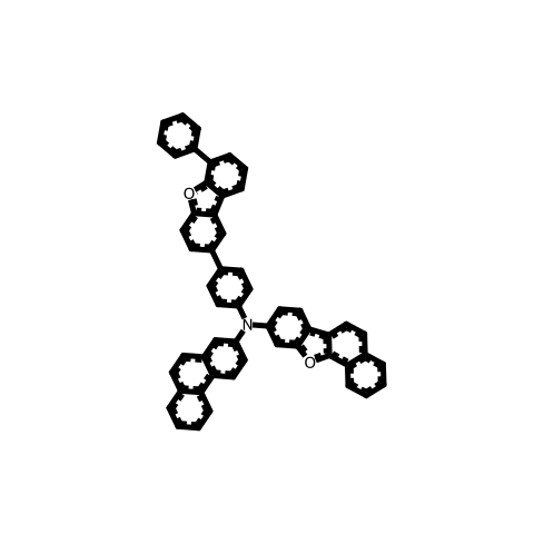 c1ccc(-c2cccc3c2oc2ccc(-c4ccc(N(c5ccc6c(ccc7ccccc76)c5)c5ccc6c(c5)oc5c7ccccc7ccc65)cc4)cc23)cc1